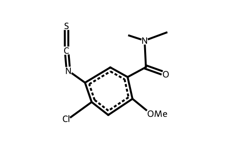 COc1cc(Cl)c(N=C=S)cc1C(=O)N(C)C